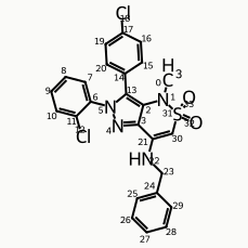 CN1c2c(nn(-c3ccccc3Cl)c2-c2ccc(Cl)cc2)C(NCc2ccccc2)=CS1(=O)=O